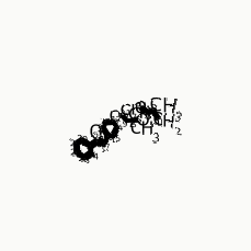 C=C(C)C(=O)OC(C)(C)CC(C)Oc1ccc2cc(-c3ccccc3)oc2c1